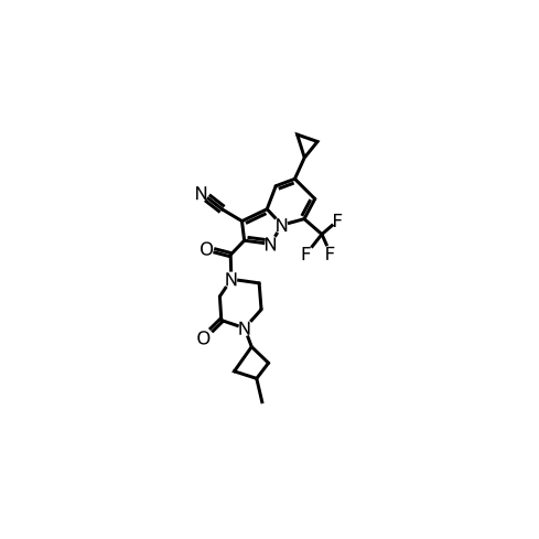 CC1CC(N2CCN(C(=O)c3nn4c(C(F)(F)F)cc(C5CC5)cc4c3C#N)CC2=O)C1